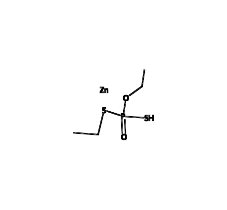 CCOP(=O)(S)SCC.[Zn]